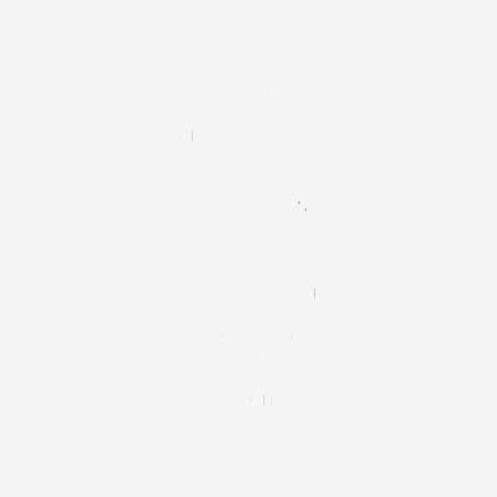 C=C(CC(O)c1cc(Cl)c(F)cn1)C(=O)O